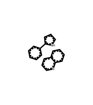 c1ccc(-c2ccc[nH]2)cc1.c1ccc2ncccc2c1